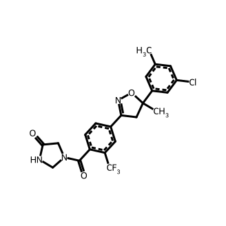 Cc1cc(Cl)cc(C2(C)CC(c3ccc(C(=O)N4CNC(=O)C4)c(C(F)(F)F)c3)=NO2)c1